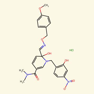 COc1ccc(CON=CC2(O)C=CC(C(=O)N(C)C)=CN2Cc2ccc([N+](=O)[O-])cc2O)cc1.Cl